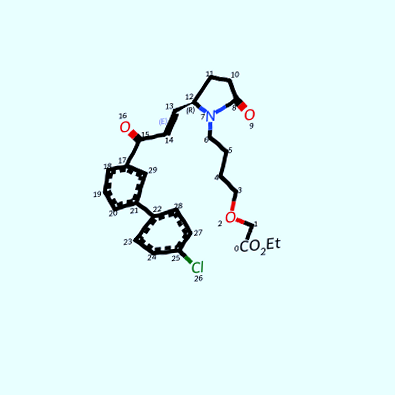 CCOC(=O)COCCCCN1C(=O)CC[C@@H]1/C=C/C(=O)c1cccc(-c2ccc(Cl)cc2)c1